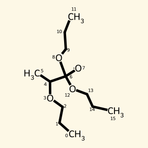 CCCOC(C)C([O])(OCCC)OCCC